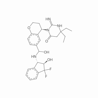 CCC1(CC)CC(=O)N([C@@H]2CCOc3ccc(C(O)N[C@H]4c5ccccc5C(F)(F)[C@@H]4O)cc32)C(=N)N1